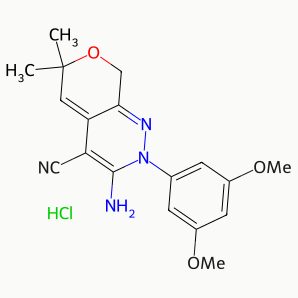 COc1cc(OC)cc(N2N=C3COC(C)(C)C=C3C(C#N)=C2N)c1.Cl